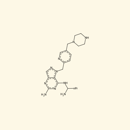 CCCC(N)Nc1nc(N)nc2cnn(Cc3ccc(CN4CCNCC4)cn3)c12